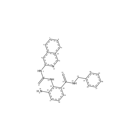 C=C(Nc1cc2ccccc2cn1)Nc1c(N)cccc1C(=O)NCc1ccccc1